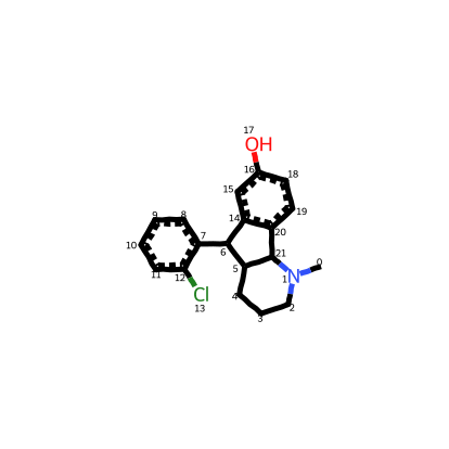 CN1CCCC2C(c3ccccc3Cl)c3cc(O)ccc3C21